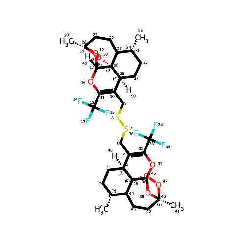 C[C@@H]1CC[C@H]2C(CSSCC3=C(C(F)(F)F)O[C@@H]4O[C@]5(C)CCC6[C@H](C)CC[C@@H]3[C@]64OO5)=C(C(F)(F)F)OC3O[C@]4(C)CCC1[C@]32OO4